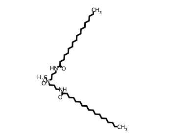 CCCCCCCCCCCCCCCCCC(=O)NCCC[N+](C)([O-])CCCNC(=O)CCCCCCCCCCCCCCCCC